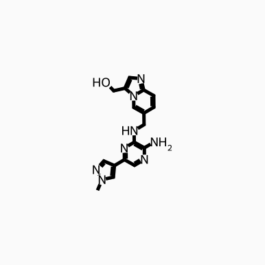 Cn1cc(-c2cnc(N)c(NCc3ccc4ncc(CO)n4c3)n2)cn1